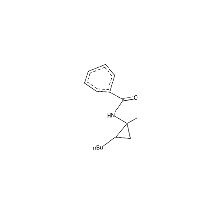 CCCCC1CC1(C)NC(=O)c1ccccc1